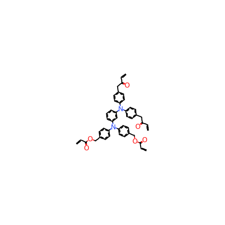 C=CC(=O)Cc1ccc(N(c2ccc(CC(=O)C=C)cc2)c2cccc(N(c3ccc(COC(=O)C=C)cc3)c3ccc(COC(=O)C=C)cc3)c2)cc1